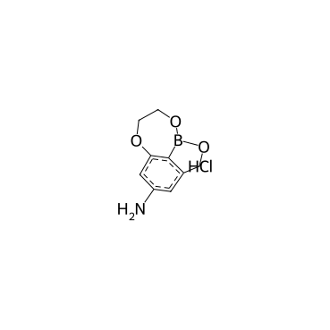 Cl.Nc1cc2c3c(c1)OCCOB3OC2